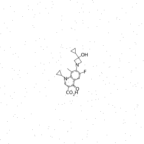 Cc1c(N2CC(O)(C3CC3)C2)c(F)cc2c(=O)c(C(=O)O)cn(C3CC3)c12